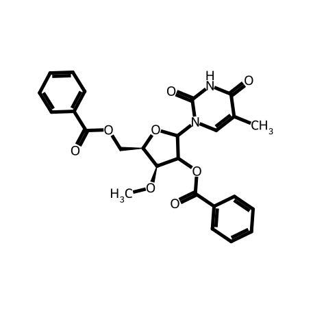 CO[C@@H]1C(OC(=O)c2ccccc2)C(n2cc(C)c(=O)[nH]c2=O)O[C@@H]1COC(=O)c1ccccc1